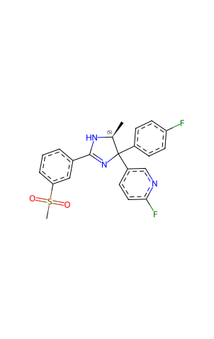 C[C@@H]1NC(c2cccc(S(C)(=O)=O)c2)=NC1(c1ccc(F)cc1)c1ccc(F)nc1